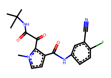 Cn1ccc(C(=O)Nc2ccc(F)c(C#N)c2)c1C(=O)C(=O)NC(C)(C)C